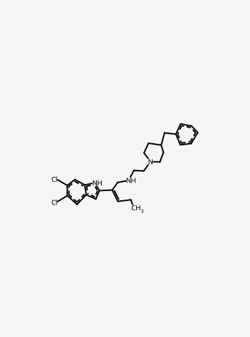 CCC=C(CNCCN1CCC(Cc2ccccc2)CC1)c1cc2cc(Cl)c(Cl)cc2[nH]1